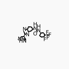 CN/C=C(\C=N)c1cnc2ccc(NC(=O)Nc3ccc(F)c(C(F)(F)F)c3)cc2n1